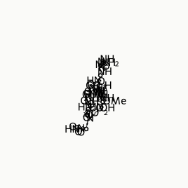 CC[C@@H]1C(=O)N(C)c2cnc(Nc3ccc(C(=O)NCCCOCCCN(CCC#Cc4cccc5c4CN(C4CCC(=O)NC4=O)C5=O)C(=O)OC(C)C(C)SSC[C@@H](NC(=O)CNC(=O)[C@@H](CC(=O)O)NC(=O)CNC(=O)[C@@H](CC(=O)O)NC(=O)CCCNC(=O)c4ccc(NCc5cnc6nc(N)[nH]c(=O)c6n5)cc4)C(=O)O)cc3OC)nc2N1C1CCCC1